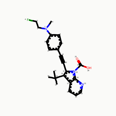 CN(CCF)c1ccc(C#Cc2c(C(C)(C)C)c3cccnc3n2C(=O)O)cc1